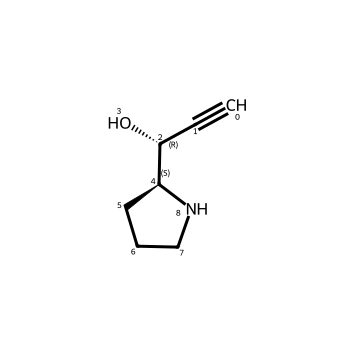 C#C[C@@H](O)[C@@H]1CCCN1